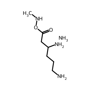 CNOC(=O)CC(N)CCCN.N